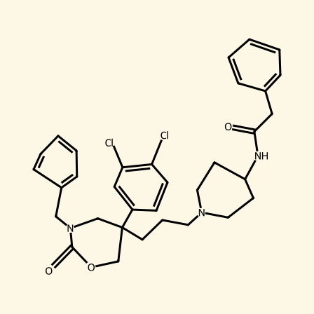 O=C(Cc1ccccc1)NC1CCN(CCCC2(c3ccc(Cl)c(Cl)c3)COC(=O)N(Cc3ccccc3)C2)CC1